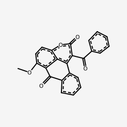 COc1ccc2oc(=O)c(C(=O)c3ccccc3)c3c2c1C(=O)c1ccccc1-3